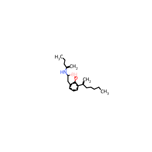 C=C(CCC)NC1BOc2c(cccc2C(=C)CCCCC)C1